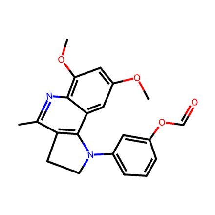 COc1cc(OC)c2nc(C)c3c(c2c1)N(c1cccc(OC=O)c1)CC3